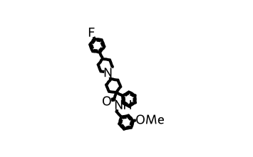 COc1cccc(CNC(=O)C2(c3ccccc3)CCC(N3CCC(c4ccc(F)cc4)CC3)CC2)c1